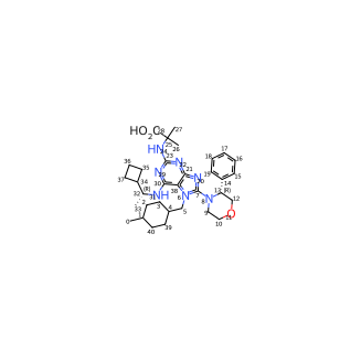 CC1CCC(Cn2c(N3CCOC[C@H]3c3ccccc3)nc3nc(NC(C)(C)C(=O)O)nc(N[C@H](C)C4CCC4)c32)CC1